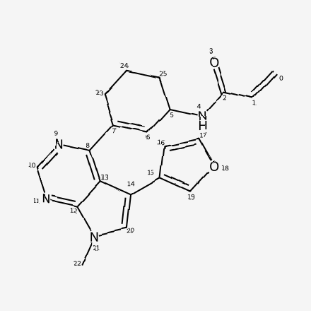 C=CC(=O)NC1C=C(c2ncnc3c2c(-c2ccoc2)cn3C)CCC1